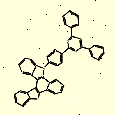 c1ccc(-c2nc(-c3ccccc3)nc(-c3ccc(-n4c5ccccc5c5c6c7ccccc7sc6c6ccccc6c54)cc3)n2)cc1